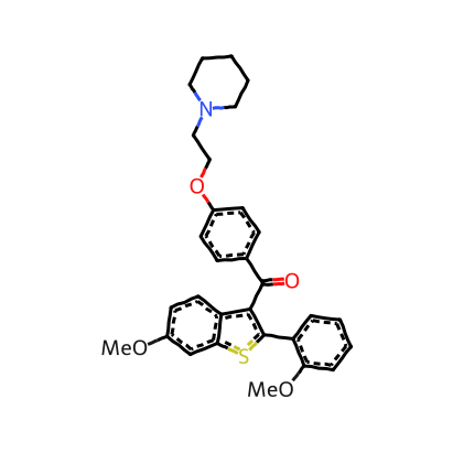 COc1ccc2c(C(=O)c3ccc(OCCN4CCCCC4)cc3)c(-c3ccccc3OC)sc2c1